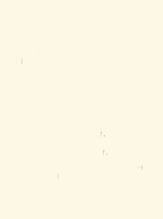 CCn1nc2oc(/C=C/C(=O)Cl)c(C)c2c1C